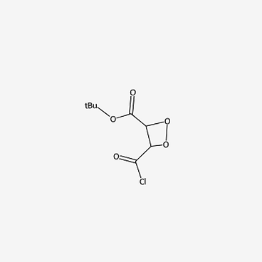 CC(C)(C)OC(=O)C1OOC1C(=O)Cl